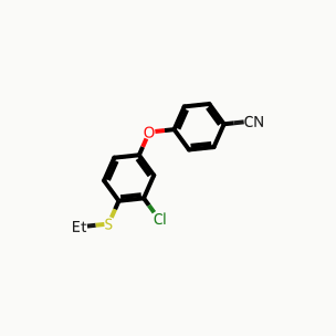 CCSc1ccc(Oc2ccc(C#N)cc2)cc1Cl